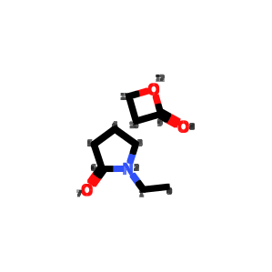 CCN1CCCC1=O.O=C1CCO1